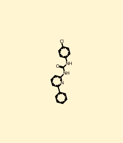 O=C(Nc1ccc(Cl)cc1)Nc1cccc(-c2ccccc2)n1